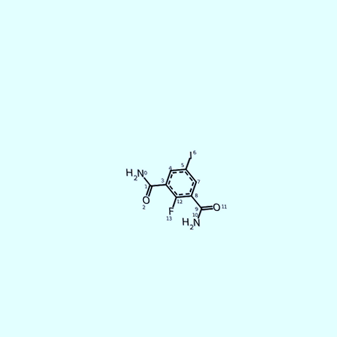 NC(=O)c1cc(I)cc(C(N)=O)c1F